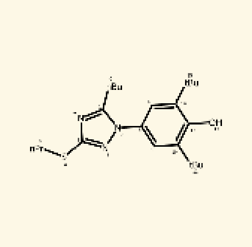 CCCCc1nc(SCCC)nn1-c1cc(C(C)(C)C)c(O)c(C(C)(C)C)c1